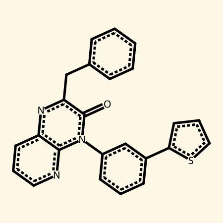 O=c1c(Cc2ccccc2)nc2cccnc2n1-c1cccc(-c2cccs2)c1